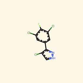 Fc1c(Cl)cc(-c2n[nH]cc2Cl)cc1Cl